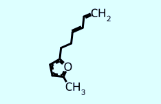 C=CC=CCCc1ccc(C)o1